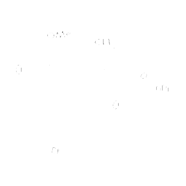 C=C(C(=O)OCCC)/C(=C\C=C/CC)C(=O)OC